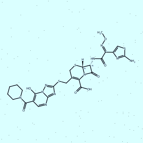 CON=C(C(=O)N[C@@H]1C(=O)N2C(C(=O)O)=C(CSc3nc4ncc(C(=O)N5CCCCC5)c(O)n4n3)CS[C@H]12)c1csc(N)n1